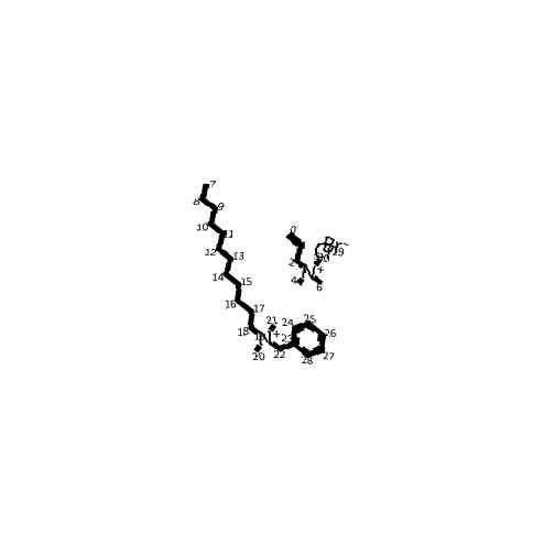 C=CC[N+](C)(C)C.CCCCCCCCCCCC[N+](C)(C)Cc1ccccc1.[Br-].[Cl-]